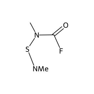 CNSN(C)C(=O)F